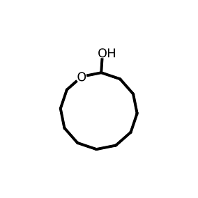 OC1CCCCCCCCCCO1